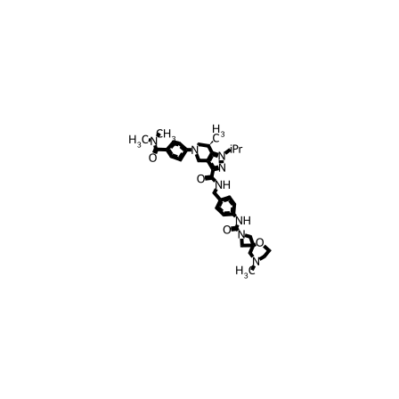 CC(C)n1nc(C(=O)NCc2ccc(NC(=O)N3CC4(CN(C)CCO4)C3)cc2)c2c1[C@@H](C)CN(c1ccc(C(=O)N(C)C)cc1)C2